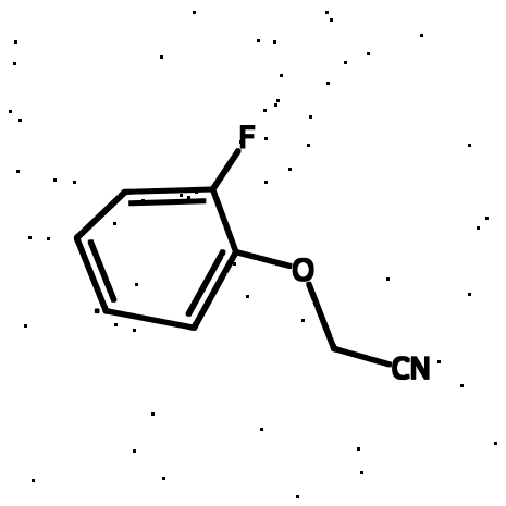 N#CCOc1c[c]ccc1F